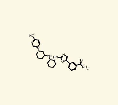 N#Cc1ccc(N2CCC[C@H](N[C@@H]3CCCC[C@H]3Nc3ncc(-c4cccc(C(N)=O)c4)o3)C2)cn1